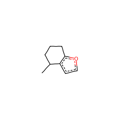 CC1CCCc2occc21